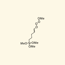 COOOOC=CCCC[Si](OC)(OC)OC